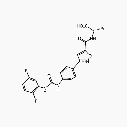 CC(C)[C@H](NC(=O)c1cc(-c2ccc(NC(=O)Nc3cc(F)ccc3F)cc2)no1)C(=O)O